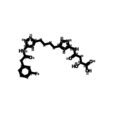 O=C(Cc1cccc(F)c1)Nc1nnc(CCCCc2nnc(NC(=O)C[C@@H](O)C(=O)O)s2)s1